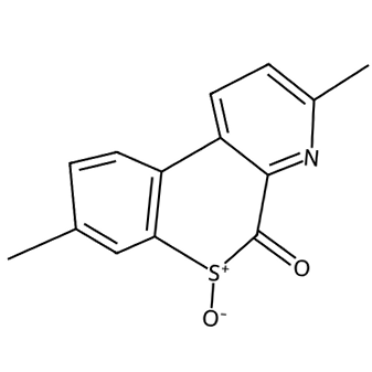 Cc1ccc2c3ccc(C)nc3c(=O)[s+]([O-])c2c1